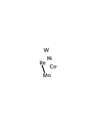 [Co].[Mo][Re].[Ni].[W]